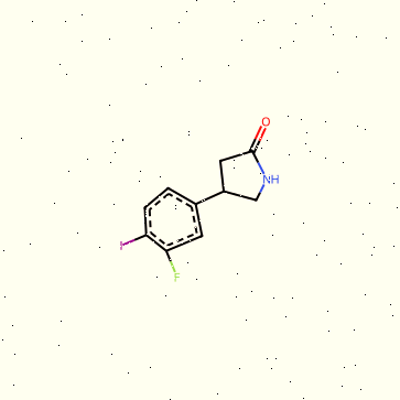 O=C1CC(c2ccc(I)c(F)c2)CN1